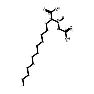 CCCCCCCCCCCCC(C(=O)O)N(C)CC(=O)O